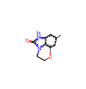 Cc1cc2c3c(c1)[nH]c(=O)n3CCO2